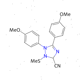 COc1ccc(C2=NC(C#N)N(SC)N2c2ccc(OC)cc2)cc1